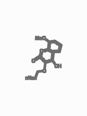 CCCCCCCCCCOc1c(O)c2cccc(OC)c2oc1=O